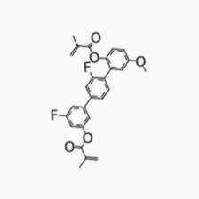 C=C(C)C(=O)Oc1cc(F)cc(-c2ccc(-c3cc(OC)ccc3OC(=O)C(=C)C)c(F)c2)c1